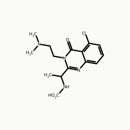 CC(NC(=O)O)c1nc2cccc(Cl)c2c(=O)n1CCN(C)C